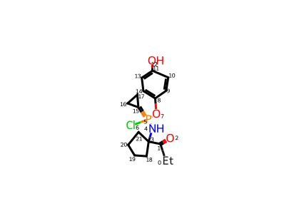 CCC(=O)C1(NP(Cl)(Oc2ccc(O)cc2)=C2CC2)CCCC1